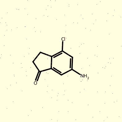 Nc1cc(Cl)c2c(c1)C(=O)CC2